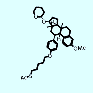 COc1ccc2c(c1)CC[C@@]1(C)[C@@H]3CC[C@H](O[C@H]4CCCCO4)[C@@]3(C)C[C@H](c3ccc(OCCCCCSC(C)=O)cc3)[C@H]21